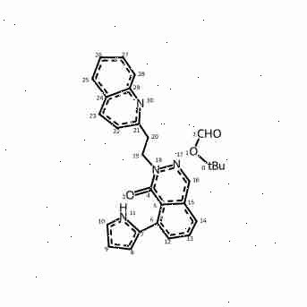 CC(C)(C)OC=O.O=c1c2c(-c3ccc[nH]3)cccc2cnn1CCc1ccc2ccccc2n1